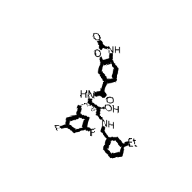 CCc1cccc(CNC[C@H](O)[C@H](Cc2cc(F)cc(F)c2)NC(=O)c2ccc3[nH]c(=O)oc3c2)c1